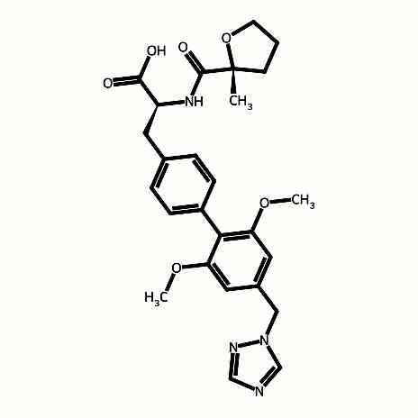 COc1cc(Cn2cncn2)cc(OC)c1-c1ccc(C[C@H](NC(=O)[C@@]2(C)CCCO2)C(=O)O)cc1